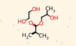 C=C(C)C(=O)OCC(C)O.OCCO